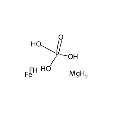 F.O=P(O)(O)O.[Fe].[MgH2]